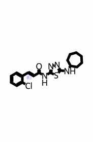 O=C(/C=C/c1ccccc1Cl)Nc1nnc(NC2CCCCCC2)s1